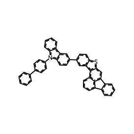 c1ccc(-c2ccc(-n3c4ccccc4c4cc(-c5ccc6sc7cc8c9c(cccc9c7c6c5)-c5ccccc5-8)ccc43)cc2)cc1